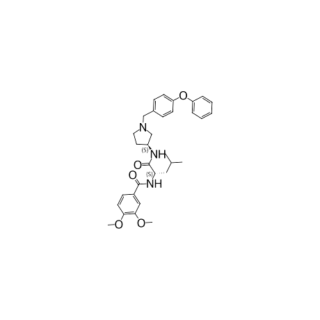 COc1ccc(C(=O)N[C@@H](CC(C)C)C(=O)N[C@H]2CCN(Cc3ccc(Oc4ccccc4)cc3)C2)cc1OC